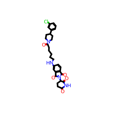 O=C1CCC(N2C(=O)c3ccc(NCCCCCC(=O)N4CCC(c5cccc(Cl)c5)CC4)cc3C2=O)C(=O)N1